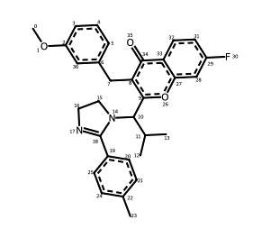 COc1cccc(Cc2c(C(C(C)C)N3CCN=C3c3ccc(C)cc3)oc3cc(F)ccc3c2=O)c1